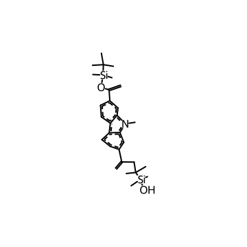 C=C(CC(C)(C)[Si](C)(C)O)c1ccc2c3ccc(C(=C)O[Si](C)(C)C(C)(C)C)cc3n(C)c2c1